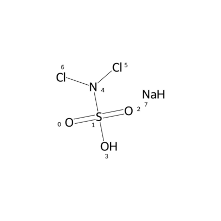 O=S(=O)(O)N(Cl)Cl.[NaH]